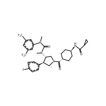 CN(C(=O)N(C)[C@@H]1CN(C(=O)[C@H]2CC[C@H](NC(=O)C3CC3)CC2)C[C@H]1c1ccc(F)cc1)c1cc(C(F)(F)F)cc(C(F)(F)F)c1